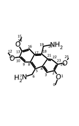 COc1cc2c(CN)c3cc(OC)c(OC)cc3c(CN)c2cc1OC